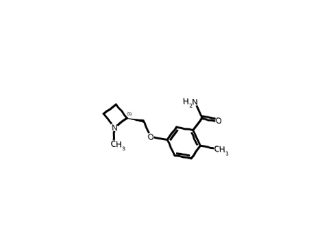 Cc1ccc(OC[C@@H]2CCN2C)cc1C(N)=O